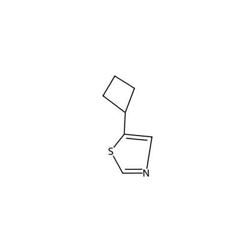 c1ncc(C2CCC2)s1